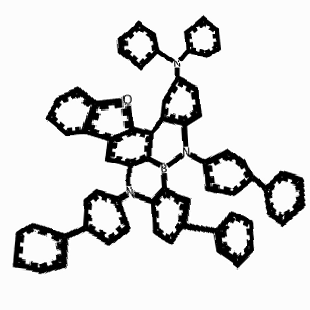 c1ccc(-c2ccc(N3B4c5cc(-c6ccccc6)ccc5N(c5ccc(-c6ccccc6)cc5)c5cc6c(oc7ccccc76)c(c54)-c4cc(N(c5ccccc5)c5ccccc5)ccc43)cc2)cc1